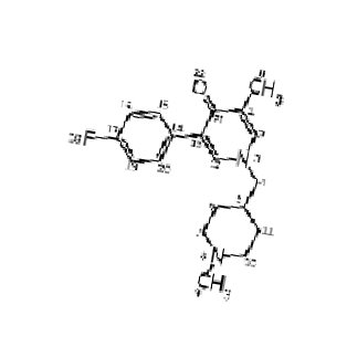 Cc1cn(CC2CCN(C)CC2)cc(-c2ccc(F)cc2)c1=O